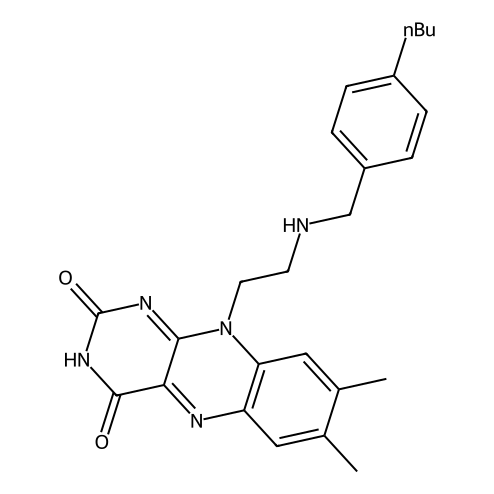 CCCCc1ccc(CNCCn2c3nc(=O)[nH]c(=O)c-3nc3cc(C)c(C)cc32)cc1